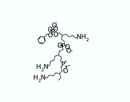 C=P(CCC(CC)CCCCN)(CCC(CCCCN)CCP(=O)(CCC(CCCCN)COP(=O)(OCc1ccccc1)OOC)OOC)C(C)=O